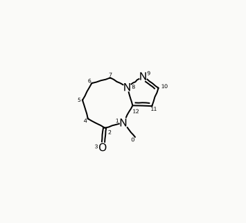 CN1C(=O)CCCCn2nccc21